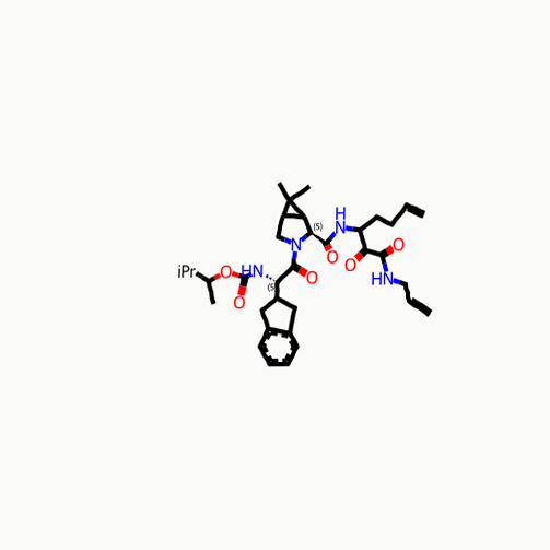 C=CCCC(NC(=O)[C@@H]1C2C(CN1C(=O)[C@@H](NC(=O)OC(C)C(C)C)C1Cc3ccccc3C1)C2(C)C)C(=O)C(=O)NCC=C